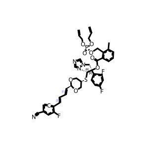 C=CCOP(=O)(OCC=C)OCc1c(C)cccc1C(=O)O[C@@](Cn1cncn1)(c1ccc(F)cc1F)[C@@H](C)S[C@H]1CO[C@H](/C=C/C=C/c2ccc(C#N)cc2F)OC1